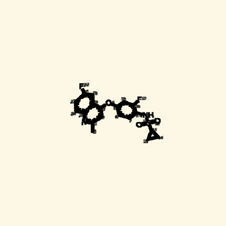 Cc1cc(Oc2ccc(NS(=O)(=O)C3CC3)c(F)c2)c2cc(F)ccc2n1